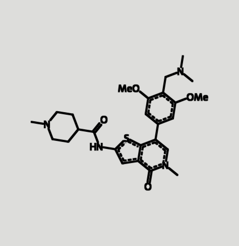 COc1cc(-c2cn(C)c(=O)c3cc(NC(=O)C4CCN(C)CC4)sc23)cc(OC)c1CN(C)C